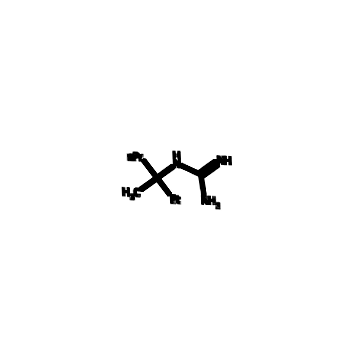 CCCC(C)(CC)NC(=N)N